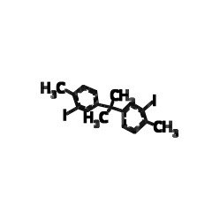 Cc1ccc(C(C)(C)c2ccc(C)c(I)c2)cc1I